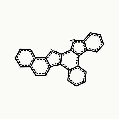 c1ccc2c(c1)ccc1c2sc2c3[nH]c4ccccc4c3c3ccccc3c12